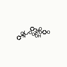 COc1ccc(OC(=O)N(Cc2cccc(OCCc3nc(-c4ccccc4)oc3C)c2)C(C)(C)C(=O)O)cc1